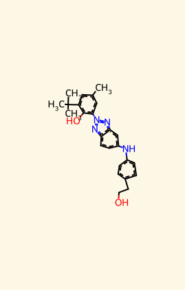 Cc1cc(-n2nc3ccc(Nc4ccc(CCO)cc4)cc3n2)c(O)c(C(C)(C)C)c1